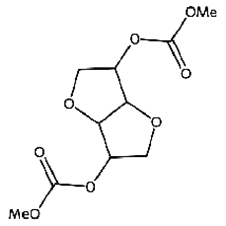 COC(=O)OC1COC2C(OC(=O)OC)COC12